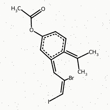 CC(=O)Oc1ccc(=C(C)C)/c(=C\C(Br)=C/I)c1